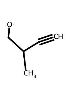 C#CC(C)C[O]